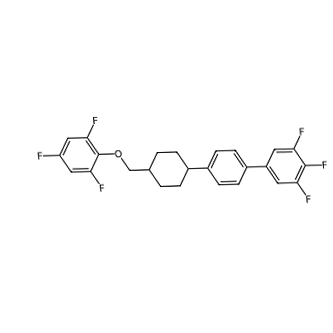 Fc1cc(F)c(OCC2CCC(c3ccc(-c4cc(F)c(F)c(F)c4)cc3)CC2)c(F)c1